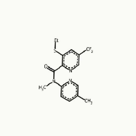 CCSc1cc(C(F)(F)F)cnc1C(=O)N(C)c1ccc(C)cn1